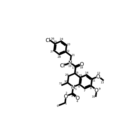 CCOC(=O)N1c2cc(OC)c(OC)cc2C(C(=O)N(Cl)Cc2ccc(Cl)cc2)CC1C